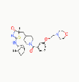 CC1(CC2CCN(C(=O)c3cccc(OCCN4CCOCC4)c3)CC2)SC(N[C@H]2CC3CC[C@H]2C3)=NC1=O